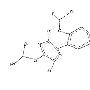 CCCC(CC)Oc1nc(CC)c(-c2ccccc2OC(F)Cl)nc1CC